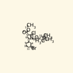 CCOC(=O)c1cc(-c2cccc(Br)c2)n(COCC[Si](C)(C)C)c1Cl